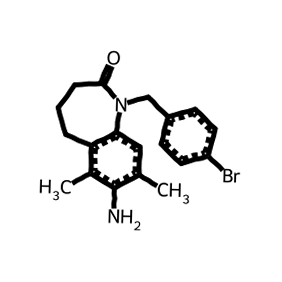 Cc1cc2c(c(C)c1N)CCCC(=O)N2Cc1ccc(Br)cc1